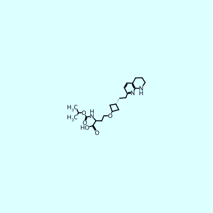 CC(C)OC(=O)NC(CCO[C@H]1C[C@H](CCc2ccc3c(n2)NCCC3)C1)C(=O)O